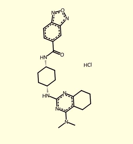 CN(C)c1nc(N[C@H]2CC[C@@H](NC(=O)c3ccc4nonc4c3)CC2)nc2c1CCCC2.Cl